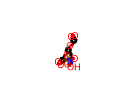 O=C(O)CN1C(=O)/C(=C/c2cc(OCc3ccc4c(c3)OCO4)ccc2OCc2ccc3c(c2)OCO3)SC1=S